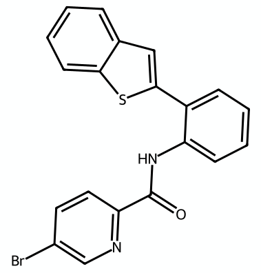 O=C(Nc1ccccc1-c1cc2ccccc2s1)c1ccc(Br)cn1